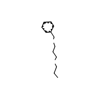 CC[CH]SCCCSCc1ccccc1